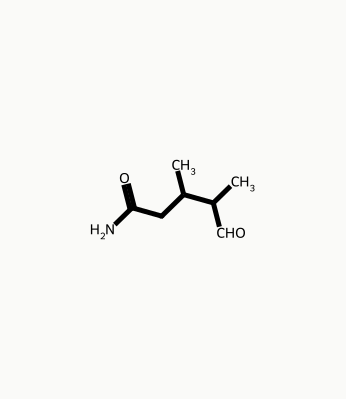 CC(C=O)C(C)CC(N)=O